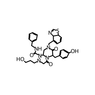 O=C1C(Cc2ccc(O)cc2)N2C(=O)CN(CCCO)N(C(=O)NCc3ccccc3)C2CN1CC1=CC=CC2SC=NC12